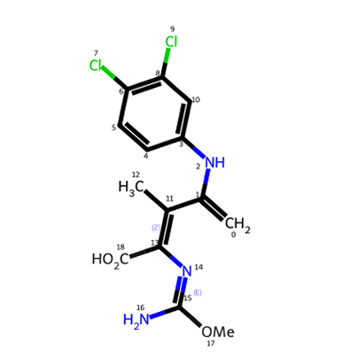 C=C(Nc1ccc(Cl)c(Cl)c1)/C(C)=C(\N=C(/N)OC)C(=O)O